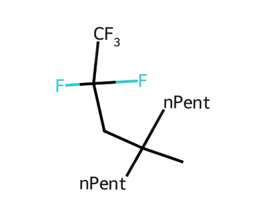 CCCCCC(C)(CCCCC)CC(F)(F)C(F)(F)F